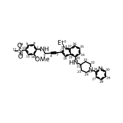 CCn1c(C#CCNc2ccc(S(C)(=O)=O)cc2OC)cc2c(NC3CCN(c4ccccn4)CC3)cccc21